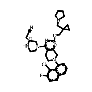 N#CC[C@H]1CN(c2nc(OCC3(CN4CCCC4)CC3)nc3c2CCN(c2cccc4ccc(F)c(Cl)c24)C3)CCN1